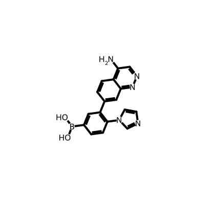 Nc1cnnc2cc(-c3cc(B(O)O)ccc3-n3ccnc3)ccc12